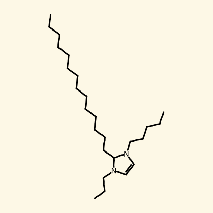 CCCCCCCCCCCCCCC1N(CCC)C=CN1CCCCC